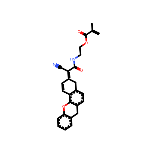 C=C(C)C(=O)OCCNC(=O)/C(C#N)=C1/C=Cc2c(ccc3c2Oc2ccccc2C3)C1